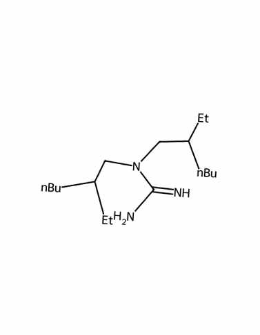 CCCCC(CC)CN(CC(CC)CCCC)C(=N)N